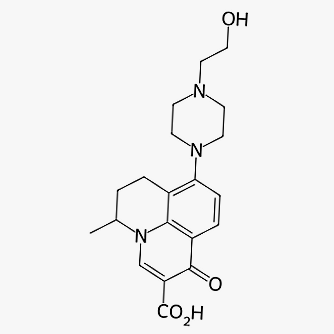 CC1CCc2c(N3CCN(CCO)CC3)ccc3c(=O)c(C(=O)O)cn1c23